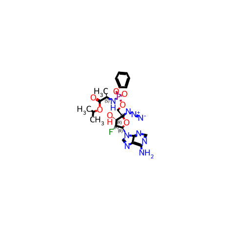 CC(C)OC(=O)[C@H](C)NP(=O)(OC[C@@]1(N=[N+]=[N-])O[C@@H](n2cnc3c(N)ncnc32)[C@H](F)[C@@H]1O)Oc1ccccc1